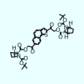 CC(C)(C)OC(=O)N1C2CC[C@@H]2[C@H]1C(=O)OCC(=O)c1ccc2c(ccc3cc(C(=O)COC(=O)[C@H]4[C@H]5CC[C@H](C5)N4C(=O)OC(C)(C)C)sc32)c1